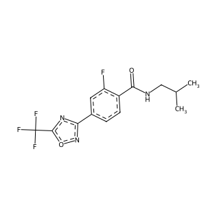 CC(C)CNC(=O)c1ccc(-c2noc(C(F)(F)F)n2)cc1F